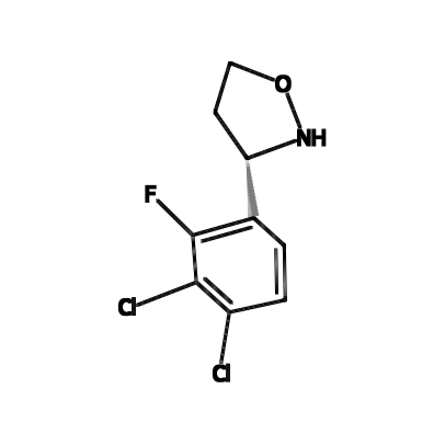 Fc1c([C@@H]2CCON2)ccc(Cl)c1Cl